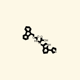 O=C(N[C@@H](Cc1c[nH]c2c(-c3ccsc3)cccc12)C(=O)O)OCC1c2ccccc2-c2ccccc21